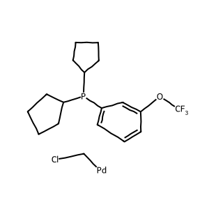 Cl[CH2][Pd].FC(F)(F)Oc1cccc(P(C2CCCC2)C2CCCC2)c1